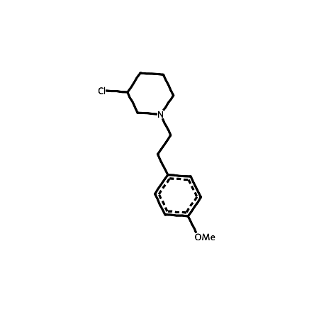 COc1ccc(CCN2CCCC(Cl)C2)cc1